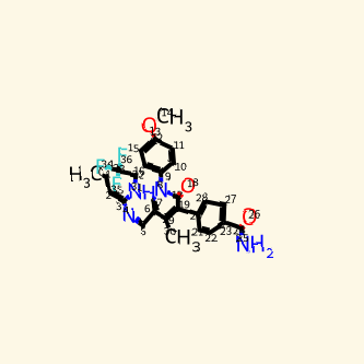 CC/C=C(/N=C\c1cn(-c2ccc(OC)cc2)c(=O)c(-c2ccc(C(N)=O)cc2)c1C)NCC(F)(F)F